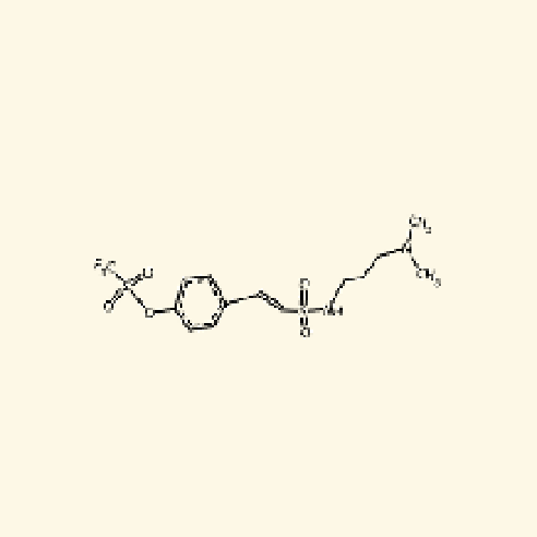 CN(C)CCCNS(=O)(=O)/C=C/c1ccc(OS(=O)(=O)C(F)(F)F)cc1